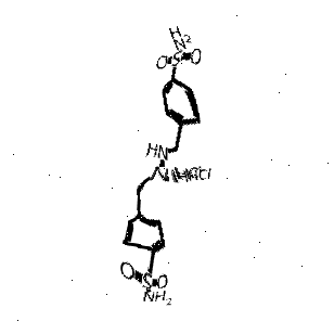 Cl.Cl.NS(=O)(=O)c1ccc(CNNCc2ccc(S(N)(=O)=O)cc2)cc1